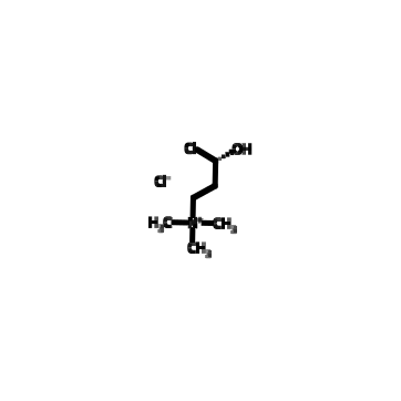 C[N+](C)(C)CC[C@@H](O)Cl.[Cl-]